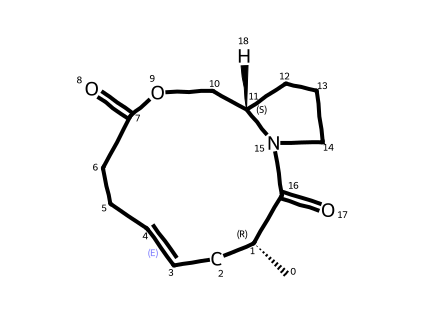 C[C@@H]1C/C=C/CCC(=O)OC[C@@H]2CCCN2C1=O